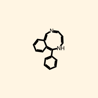 c1ccc(-c2[nH]cccncc3ccccc23)cc1